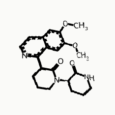 COc1cc2ccnc(C3CCCN([C@@H]4CCCNC4=O)C3=O)c2cc1OC